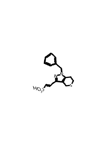 O=S(=O)(O)C=Cc1nn(Cc2ccccc2)c2c1CSCC2